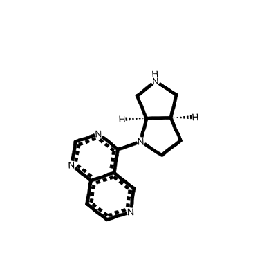 c1cc2ncnc(N3CC[C@@H]4CNC[C@@H]43)c2cn1